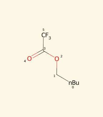 CCCCCOC(=O)C(F)(F)F